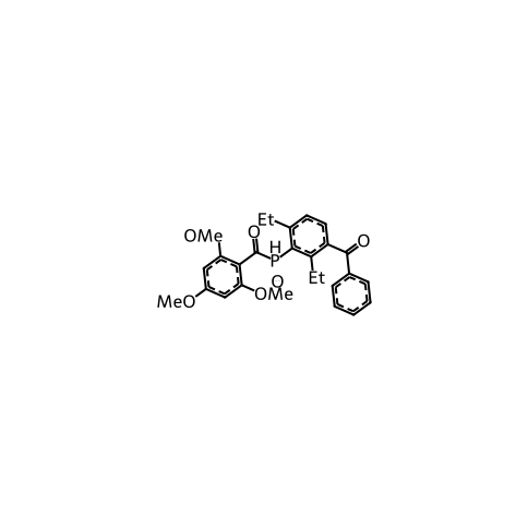 CCc1ccc(C(=O)c2ccccc2)c(CC)c1[PH](=O)C(=O)c1c(OC)cc(OC)cc1OC